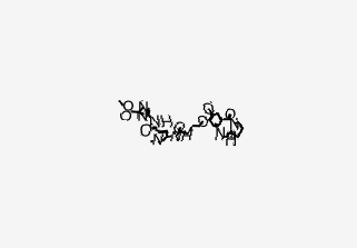 CCOC(=O)c1nc(NC(=O)c2cc(NC(=O)CCCOc3cc4c(cc3OC)C(=O)N3CCC[C@H]3C=N4)cn2C)cn1C